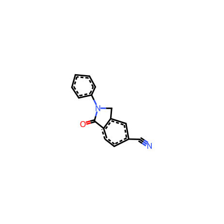 N#Cc1ccc2c(c1)CN(c1ccccc1)C2=O